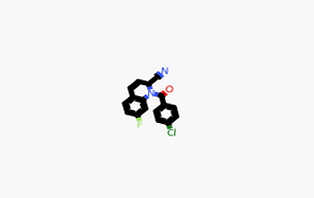 N#CC1C=Cc2ccc(F)cc2N1C(=O)c1ccc(Cl)cc1